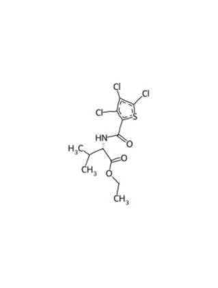 CCOC(=O)[C@@H](NC(=O)c1sc(Cl)c(Cl)c1Cl)C(C)C